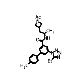 CCc1nnnn1-c1cc(C(=O)NC(C)CC2CN(C(C)=O)C2)cc(-c2ccc(C)cc2)c1